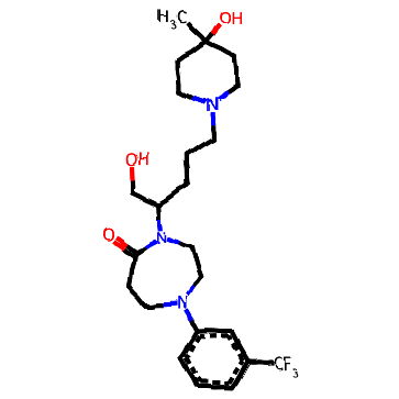 CC1(O)CCN(CCCC(CO)N2CCN(c3cccc(C(F)(F)F)c3)CCC2=O)CC1